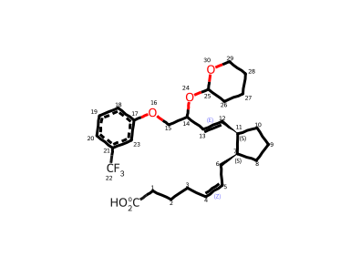 O=C(O)CCC/C=C\C[C@@H]1CCC[C@@H]1/C=C/C(COc1cccc(C(F)(F)F)c1)OC1CCCCO1